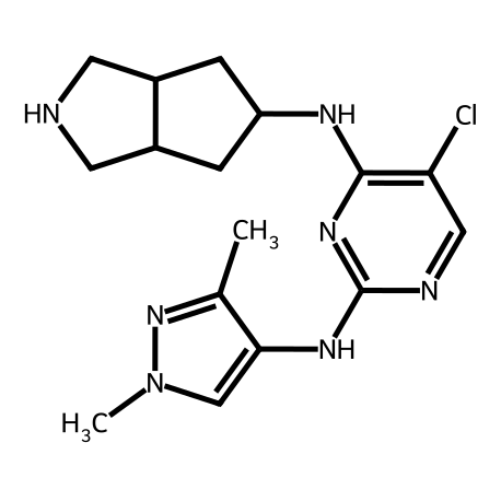 Cc1nn(C)cc1Nc1ncc(Cl)c(NC2CC3CNCC3C2)n1